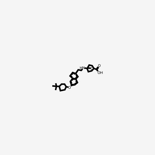 CC(C)(C)C1CCC(Oc2ccc3cc(CCNC45CCC(C(=O)O)(CC4)CC5)ccc3c2)CC1